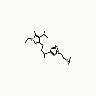 CCn1nc(CCC(C)c2cnn(CCN(C)C)c2)c(C(C)C)c1C